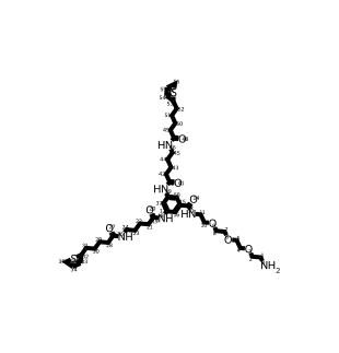 NCCOCCOCCOCCNC(=O)c1cc(NC(=O)CCCCNC(=O)CCCCC2C3C4CS243)cc(NC(=O)CCCCNC(=O)CCCCC2C3C4CS243)c1